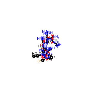 CC(C)C[C@@H](NC(=O)[C@@H](CCCNC(=N)N)NC(=O)[C@@H]1CCCN1C(=O)[C@H](CCCCNC(=N)N)NC(=O)[C@@H](CCC(N)=O)NC(=O)C(C)(C)C(=O)NCCc1cnc[nH]1)C(=O)NC(C)(C)C(=O)N[C@@H](Cc1c[nH]cn1)C(=O)N[C@@H](CC1CCNCC1)C(=O)N[C@H](C)C(=O)N1[C@H](C(=O)N[C@@H](Cc2ccc(Br)cc2)C(=O)N2CCC[C@H]2C(=O)N[C@H](Cc2ccc(-c3ccccc3)cc2)C(=O)O)C[C@@H]2CCCC[C@@H]21